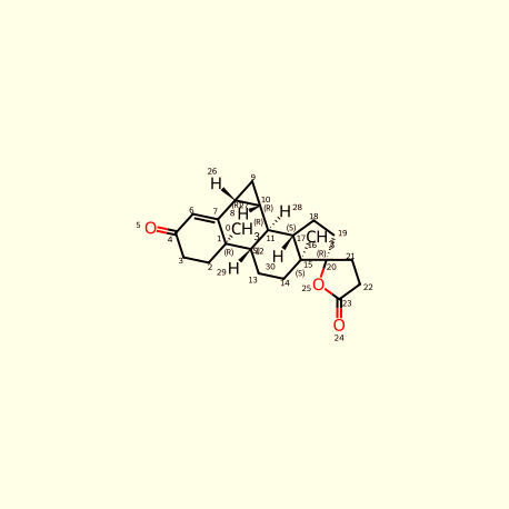 C[C@]12CCC(=O)C=C1[C@@H]1C[C@@H]1[C@@H]1[C@@H]2CC[C@@]2(C)[C@H]1CC[C@@]21CCC(=O)O1